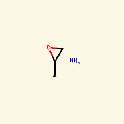 N.[CH2]C1CO1